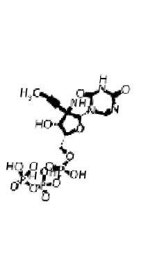 CC#CC1(N)[C@@H](O)[C@@H](COP(=O)(O)OP(=O)(O)OP(=O)(O)O)O[C@H]1n1cnc(=O)[nH]c1=O